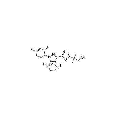 CC(C)(CO)c1cnc(-c2nn(-c3ccc(F)cc3F)c3c2[C@H]2CC[C@@H]3C2)o1